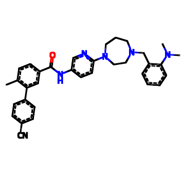 Cc1ccc(C(=O)Nc2ccc(N3CCCN(Cc4ccccc4N(C)C)CC3)nc2)cc1-c1ccc(C#N)cc1